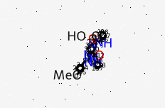 COc1ccc(CNc2nc3c(c(=O)n2-c2ccccc2)CN(C(=O)Nc2ccccc2C(=O)O)CC3)cc1